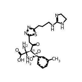 Cc1cccc(S(=O)(=O)[C@H](C(=O)Cc2nnc(CCCNC3=NCCN3)s2)C(N)(N)C(=O)O)c1